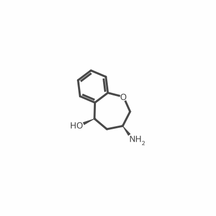 N[C@@H]1COc2ccccc2[C@H](O)C1